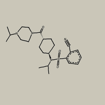 CC(C)N1CCN(C(=O)[C@H]2CC[C@H](N(C(C)C)S(=O)(=O)c3ccccc3C#N)CC2)CC1